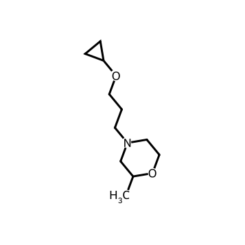 CC1CN(CCCOC2CC2)CCO1